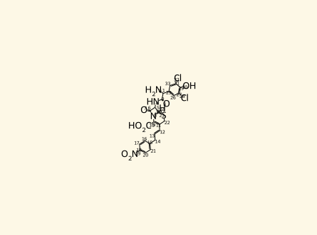 NC(C(=O)NC1C(=O)N2C(C(=O)O)=C(C=CCc3ccc([N+](=O)[O-])cc3)CS[C@@H]12)c1cc(Cl)c(O)c(Cl)c1